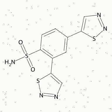 NS(=O)(=O)c1ccc(-c2cnns2)cc1-c1cnns1